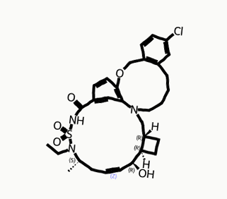 CCN1[C@@H](C)C/C=C\[C@H](O)[C@@H]2CC[C@H]2CN2CCCCc3cc(Cl)ccc3COc3ccc(cc32)C(=O)NS1(=O)=O